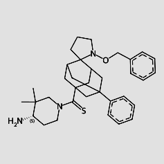 CC1(C)CN(C(=S)C23CC4CC(c5ccccc5)(CC(C2)C42CCCN2OCc2ccccc2)C3)CC[C@@H]1N